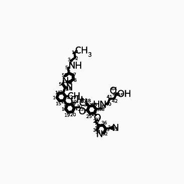 CCCCNCc1ccc2nc(-c3cccc(-c4cccc(COc5cc(OCc6cncc(C#N)c6)c(CNCCCC(=O)O)cc5Cl)c4C)c3C)cn2c1